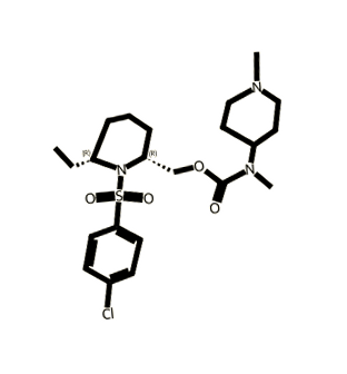 CC[C@@H]1CCC[C@H](COC(=O)N(C)C2CCN(C)CC2)N1S(=O)(=O)c1ccc(Cl)cc1